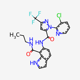 CCCNC(=O)c1c(NC(=O)c2cc(C(F)(F)F)nn2-c2ncccc2Cl)ccc2cc[nH]c12